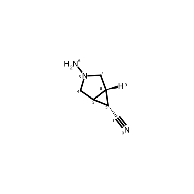 N#C[C@@H]1C2CN(N)C[C@@H]21